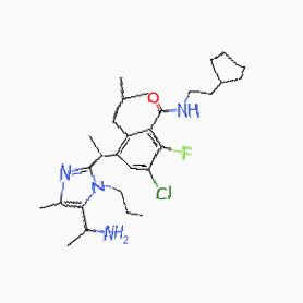 CCCn1c(C(C)c2cc(Cl)c(F)c(C(=O)NCCC3CCCC3)c2CC(C)C)nc(C)c1C(C)N